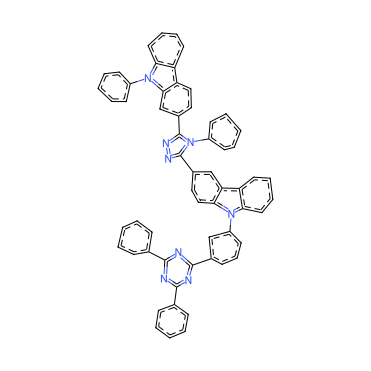 c1ccc(-c2nc(-c3ccccc3)nc(-c3cccc(-n4c5ccccc5c5cc(-c6nnc(-c7ccc8c9ccccc9n(-c9ccccc9)c8c7)n6-c6ccccc6)ccc54)c3)n2)cc1